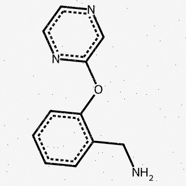 NCc1ccccc1Oc1cnccn1